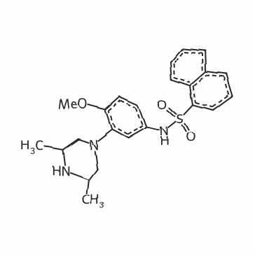 COc1ccc(NS(=O)(=O)c2cccc3ccccc23)cc1N1CC(C)NC(C)C1